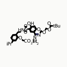 CCOC(=O)COc1cc(C(C)C)ccc1CCNS(=O)(=O)c1cc(/C(N)=N\C(=O)OCOC(=O)C(C)(C)C)ccc1O